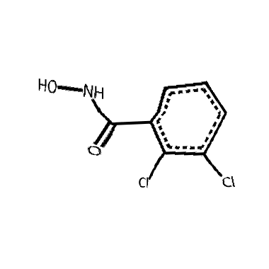 O=C(NO)c1cccc(Cl)c1Cl